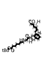 CC(C)(C)OC(=O)CCCCCCNCC(=O)NC[C@H]1[C@@H](C/C=C\CCCC(=O)O)[C@H]2CC[C@@H]1O2